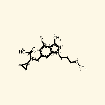 COCCCn1nc(C)c2c(Cl)cc(CN(C(=O)O)C3CC3)cc21